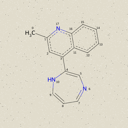 Cc1cc(C2=CN=CC=CN2)c2ccccc2n1